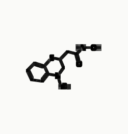 CCCCN1CC(CC(=O)NO)Sc2ccccc21